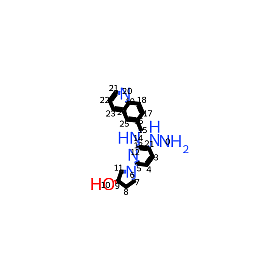 NNc1ccc(N2CCC(O)C2)nc1NCc1ccc2ncccc2c1